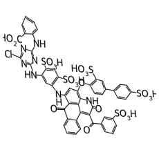 O=C(O)c1ccccc1Nc1nc(Cl)nc(Nc2cc(Nc3cc(Oc4ccc(-c5ccc(S(=O)(=O)O)cc5)cc4S(=O)(=O)O)c4[nH]c(=O)c(C(=O)c5cccc(S(=O)(=O)O)c5)c5c4c3C(=O)c3ccccc3-5)c(S(=O)(=O)O)cc2S(=O)(=O)O)n1